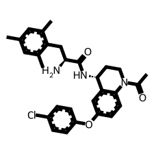 CC(=O)N1CC[C@@H](NC(=O)[C@@H](N)Cc2c(C)cc(C)cc2C)c2cc(Oc3ccc(Cl)cc3)ccc21